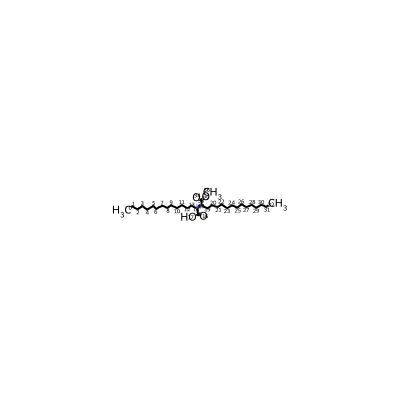 CCCCCCCCCCCCCC/C(C(=O)O)=C(/CCCCCCCCCCCCCC)C(=O)OC